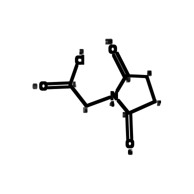 O=C(Cl)CN1C(=O)CCC1=O